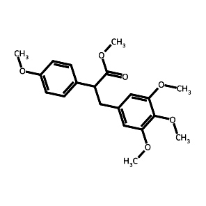 COC(=O)C(Cc1cc(OC)c(OC)c(OC)c1)c1ccc(OC)cc1